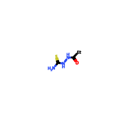 CCC(=O)NNC(N)=S